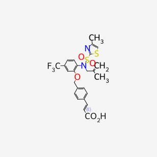 C=C(C)CN(c1ccc(C(F)(F)F)cc1OCc1ccc(/C=C/C(=O)O)cc1)S(=O)(=O)c1nc(C)cs1